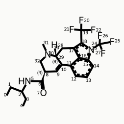 CCC(CC)NC(=O)[C@@H]1C=C2c3cccc4c3c(c(C(F)(F)F)n4C(F)(F)F)C[C@H]2N(C)C1